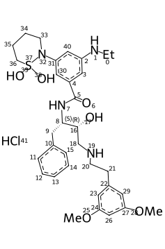 CCNc1cc(C(=O)N[C@@H](Cc2ccccc2)[C@H](O)CNCCc2cc(OC)cc(OC)c2)cc(N2CCCCS2(O)O)c1.Cl